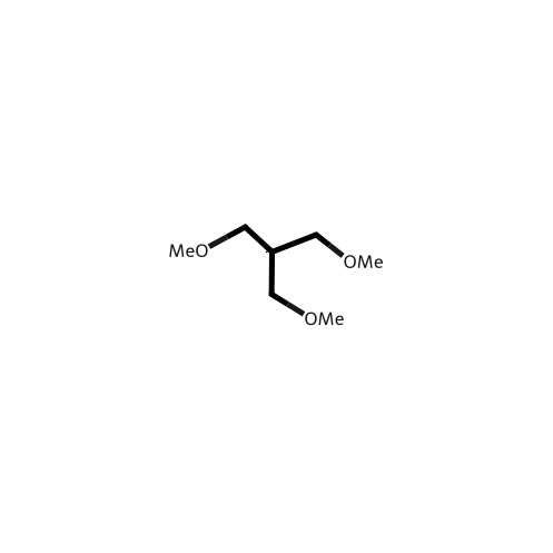 COC[C](COC)COC